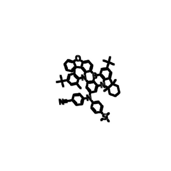 Cc1cc(C(C)(C)C)cc(C)c1N1c2cc(N(c3ccc(C#N)cc3)c3ccc([Si](C)(C)C)cc3)cc3c2B(c2cc(C(C)(C)C)cc4c2N3C2(C)CCCCC42C)c2ccc3oc4ccccc4c3c21